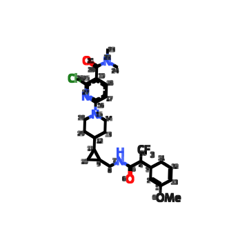 COC1=CC(C(C(=O)NCC2CC2C2CCN(c3ccc(C(=O)N(C)C)c(Cl)n3)CC2)C(F)(F)F)CC=C1